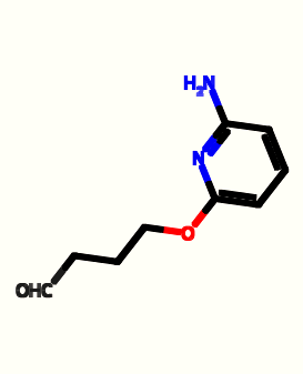 Nc1cccc(OCCCC=O)n1